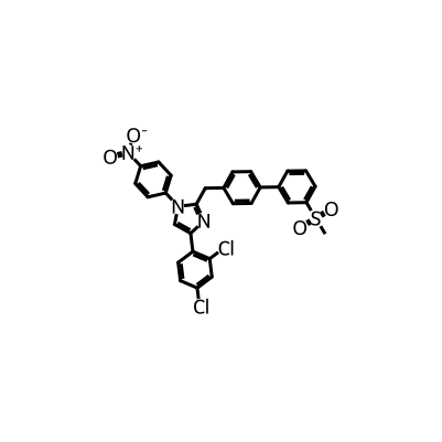 CS(=O)(=O)c1cccc(-c2ccc(Cc3nc(-c4ccc(Cl)cc4Cl)cn3-c3ccc([N+](=O)[O-])cc3)cc2)c1